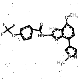 COc1ccc(-c2cnn(C)c2)c2nc(NC(=O)c3ccc(OC(F)(F)F)cc3)[nH]c12